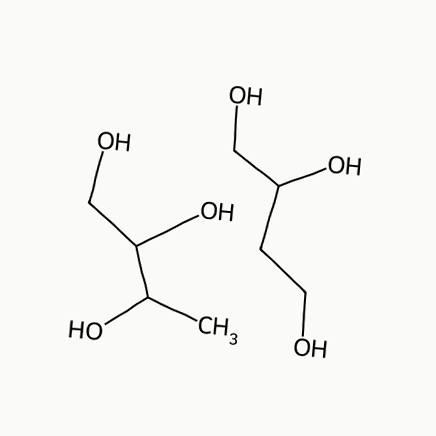 CC(O)C(O)CO.OCCC(O)CO